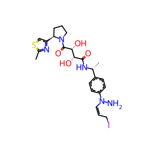 Cc1nc([C@H]2CCCN2C(=O)[C@H](O)[C@@H](O)C(=O)N[C@H](C)c2ccc(N(N)/C=C\CI)cc2)cs1